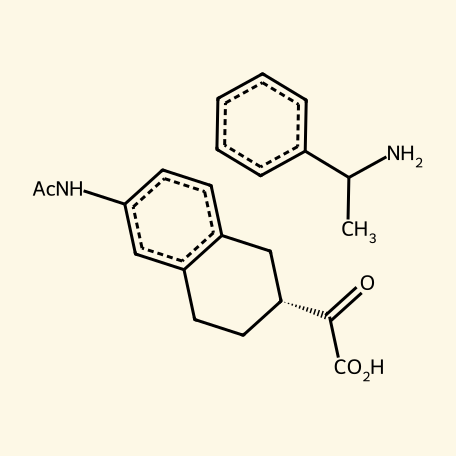 CC(=O)Nc1ccc2c(c1)CC[C@@H](C(=O)C(=O)O)C2.CC(N)c1ccccc1